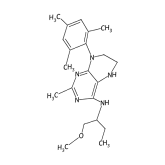 CCC(COC)Nc1nc(C)nc2c1NCCN2c1c(C)cc(C)cc1C